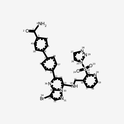 NC(=O)c1ccc(-c2ccc(-c3cc(NCc4cccnc4S(=O)(=O)n4ccnn4)n4ncc(Br)c4n3)cc2)cc1